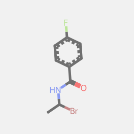 CC(Br)NC(=O)c1ccc(F)cc1